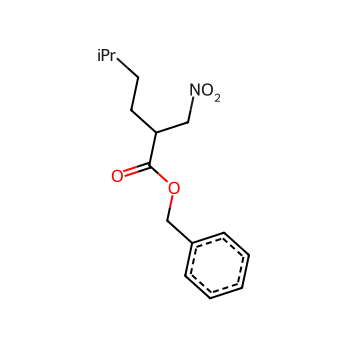 CC(C)CCC(C[N+](=O)[O-])C(=O)OCc1ccccc1